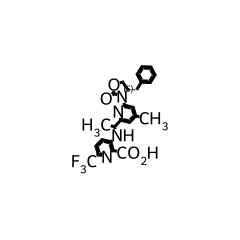 Cc1cc(C(C)Nc2ccc(C(F)(F)F)nc2C(=O)O)nc(N2C(=O)OC[C@@H]2Cc2ccccc2)c1